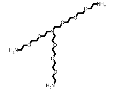 NCCOCCOCCOCCN(CCOCCOCCN)CCOCCOCCOCCN